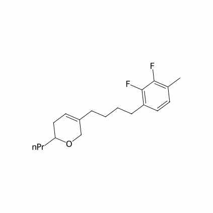 CCCC1CC=C(CCCCc2ccc(C)c(F)c2F)CO1